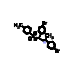 C/C(=C\C(=NS(=O)(=O)c1ccc(C)cc1)c1ccc(Br)cc1)c1ccc(Br)cc1